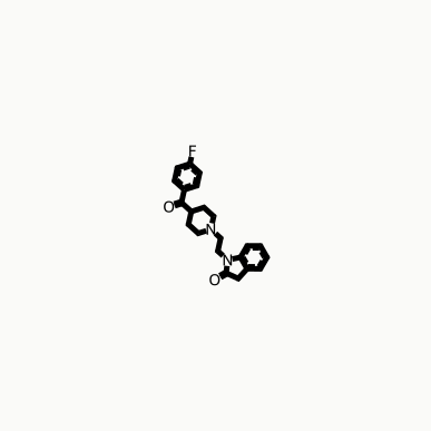 O=C(c1ccc(F)cc1)C1CCN(CCN2C(=O)Cc3ccccc32)CC1